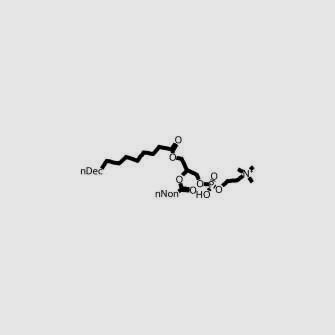 CCCCCCCCCCCCCCCCCC(=O)OCC(COP(=O)(O)OCC[N+](C)(C)C)OC(=O)CCCCCCCCC